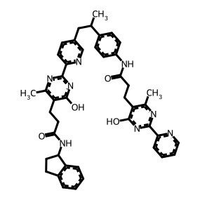 Cc1nc(-c2ccccn2)nc(O)c1CCC(=O)Nc1ccc(C(C)Cc2ccc(-c3nc(C)c(CCC(=O)NC4CCc5ccccc54)c(O)n3)nc2)cc1